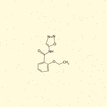 CCOc1ccccc1C(=O)Nc1cnno1